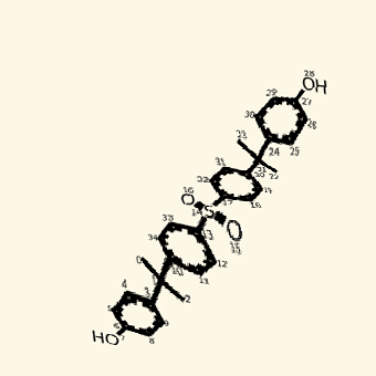 CC(C)(c1ccc(O)cc1)c1ccc(S(=O)(=O)c2ccc(C(C)(C)c3ccc(O)cc3)cc2)cc1